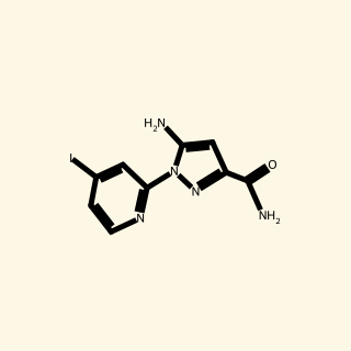 NC(=O)c1cc(N)n(-c2cc(I)ccn2)n1